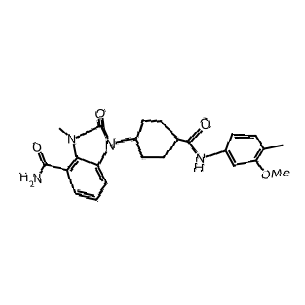 COc1cc(NC(=O)C2CCC(n3c(=O)n(C)c4c(C(N)=O)cccc43)CC2)ccc1C